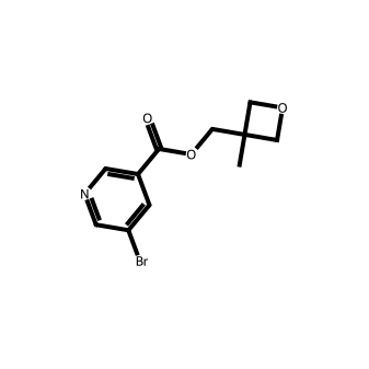 CC1(COC(=O)c2cncc(Br)c2)COC1